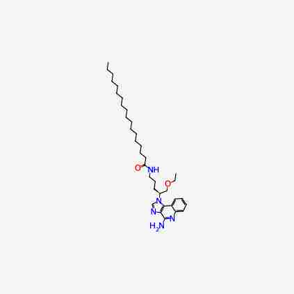 CCCCCCCCCCCCCCCCCC(=O)NCCC[C@@H](COCC)n1cnc2c(N)nc3ccccc3c21